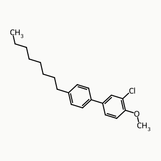 CCCCCCCCc1ccc(-c2ccc(OC)c(Cl)c2)cc1